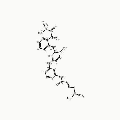 CN(C)CC=CC(=O)Nc1cccc(Nc2ncc(Cl)c(Nc3ccccc3C(=O)C(=O)N(C)C)n2)c1